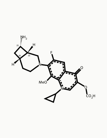 COc1c(N2CC[C@@H]3C[C@H](N)[C@@H]3C2)c(F)cc2c(=O)c(OC(=O)O)cn(C3CC3)c12